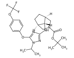 CC(C)n1nc(N[C@@H]2[C@@H]3CC[C@H]2CN(C(=O)OC(C)(C)C)C3)nc1Oc1ccc(OC(F)(F)F)cc1